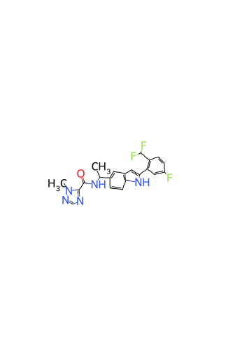 CC(NC(=O)c1ncnn1C)c1ccc2[nH]c(-c3cc(F)ccc3C(F)F)cc2c1